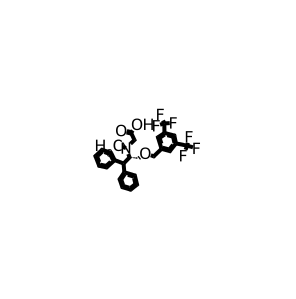 CN(CC(=O)O)[C@H](COCc1cc(C(F)(F)F)cc(C(F)(F)F)c1)C(c1ccccc1)c1ccccc1